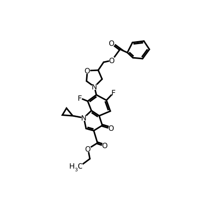 CCOC(=O)c1cn(C2CC2)c2c(F)c(N3COC(COC(=O)c4ccccc4)C3)c(F)cc2c1=O